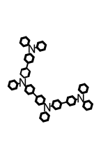 C1=CC(N(c2ccccc2)c2ccc(-c3ccc(N(c4ccccc4)c4ccc(-c5ccc(N(c6ccccc6)c6ccccc6)cc5)cc4)cc3)cc2)CC=C1c1ccc(N(c2ccccc2)c2ccccc2)cc1